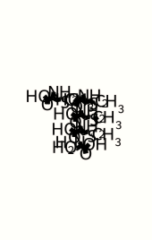 CSCCC(N)C(=O)O.CSCCC(N)C(=O)O.CSCCC(N)C(=O)O.CSCCC(N)C(=O)O.NC(CO)C(=O)O